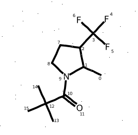 CC1C(C(F)(F)F)CCN1C(=O)C(C)(C)C